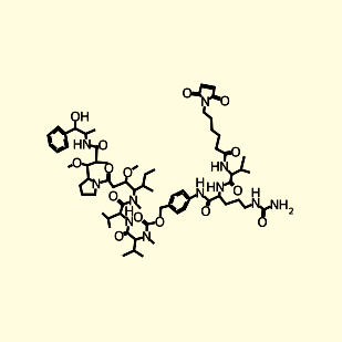 CCC(C)C(C(CC(=O)N1CCCC1C(OC)C(C)C(=O)NC(C)C(O)c1ccccc1)OC)N(C)C(=O)C(NC(=O)C(C(C)C)N(C)C(=O)OCc1ccc(NC(=O)C(CCCNC(N)=O)NC(=O)C(NC(=O)CCCCCN2C(=O)C=CC2=O)C(C)C)cc1)C(C)C